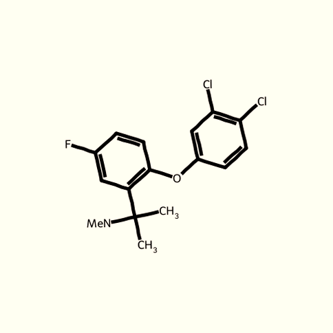 CNC(C)(C)c1cc(F)ccc1Oc1ccc(Cl)c(Cl)c1